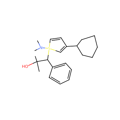 CN(C)S1(C(c2ccccc2)C(C)(C)O)C=CC(C2CCCCC2)=C1